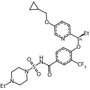 CC[C@@H](Oc1ccc(C(=O)NS(=O)(=O)N2CCN(CC)CC2)cc1C(F)(F)F)c1ccc(OCC2CC2)cn1